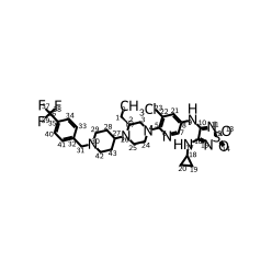 CC[C@H]1CN(c2ncc(NC3=NS(=O)(=O)N=C3NC3CC3)cc2Cl)CCN1C1CCN(Cc2ccc(C(F)(F)F)cc2)CC1